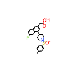 Cc1ccc([S+]([O-])N2CCC(c3cc(CC(=O)O)cc4ccc(F)cc34)CC2)cc1